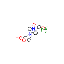 O=C(O)CCCN(CC1CCCC1)C1c2ccccc2N(C(=O)c2ccc(OC(F)(F)F)cc2)C2CCCC12